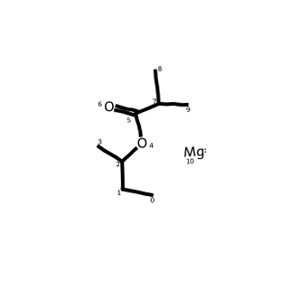 CCC(C)OC(=O)C(C)C.[Mg]